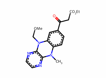 CCOC(=O)CC(=O)c1ccc2c(c1)N(COC)c1nccnc1N2C